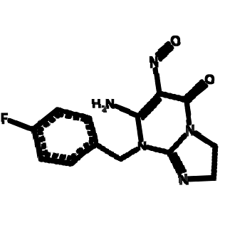 NC1=C(N=O)C(=O)N2CCN=C2N1Cc1ccc(F)cc1